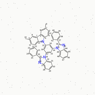 Cc1ccc2c(c1)c1cc(C)ccc1n2-c1cc(-n2c(-c3ccccc3)nc3ccccc32)cc(-n2c(-c3ccccc3)nc3ccccc32)c1